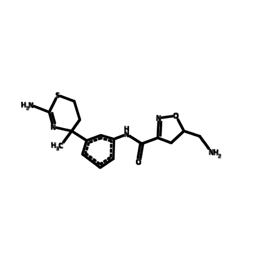 CC1(c2cccc(NC(=O)C3=NOC(CN)C3)c2)CCSC(N)=N1